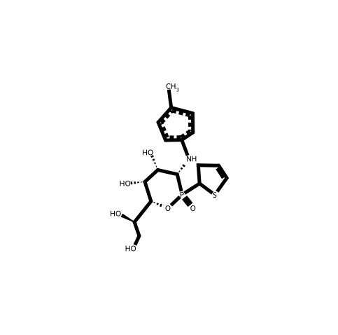 Cc1ccc(N[C@H]2[C@@H](O)[C@@H](O)[C@@H]([C@H](O)CO)OP2(=O)C2CC=CS2)cc1